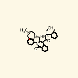 CC[C@H](NC(=O)c1c(CN2CCCN(C)CC2)n(-c2ccccc2)c(=O)c2ccccc12)c1ccccc1